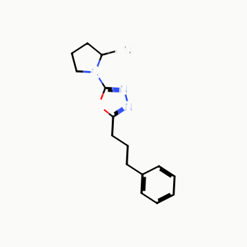 N#CC1CCCN1c1nnc(CCCc2ccccc2)o1